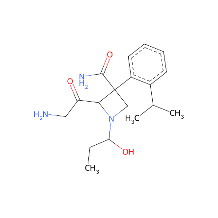 CCC(O)N1CC(C(N)=O)(c2ccccc2C(C)C)C1C(=O)CN